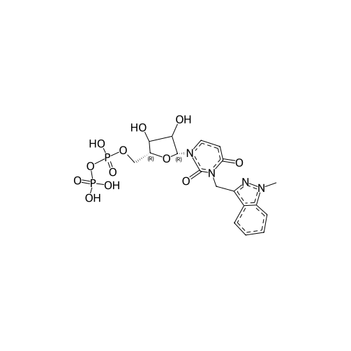 Cn1nc(Cn2c(=O)ccn([C@@H]3O[C@H](COP(=O)(O)OP(=O)(O)O)C(O)C3O)c2=O)c2ccccc21